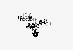 Cc1cccc(C)c1CNc1cc(NC(=O)[C@H]2CCN(C(=O)CO)C2)cn2c(C)c(C)nc12.O=C(O)CC(O)(CC(=O)O)C(=O)O